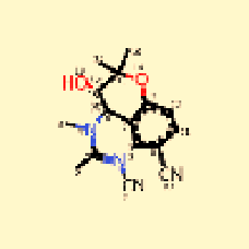 CC(=NC#N)N(C)[C@@H]1c2cc(C#N)ccc2OC(C)(C)[C@H]1O